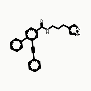 O=C(NCCCc1cn[nH]c1)c1ccc(-c2ccccc2)c(C#Cc2ccccc2)c1